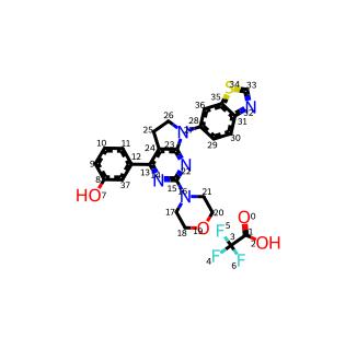 O=C(O)C(F)(F)F.Oc1cccc(-c2nc(N3CCOCC3)nc3c2CCN3c2ccc3ncsc3c2)c1